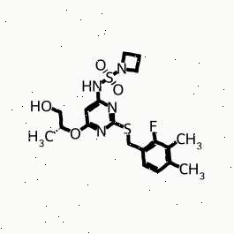 Cc1ccc(CSc2nc(NS(=O)(=O)N3CCC3)cc(O[C@H](C)CO)n2)c(F)c1C